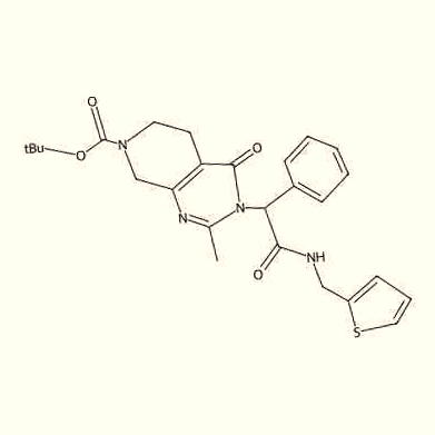 Cc1nc2c(c(=O)n1C(C(=O)NCc1cccs1)c1ccccc1)CCN(C(=O)OC(C)(C)C)C2